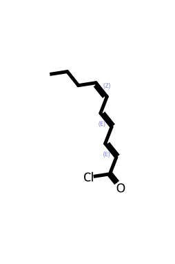 CCC\C=C/C=C/C=C/C(=O)Cl